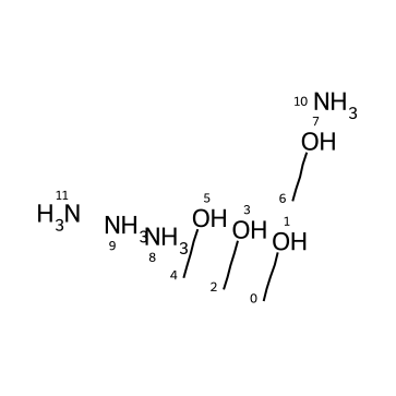 CO.CO.CO.CO.N.N.N.N